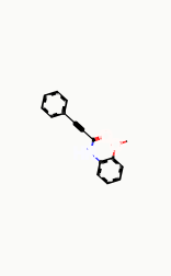 COc1ccccc1NC(=O)C#Cc1ccccc1